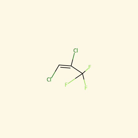 FC(F)(F)/C(Cl)=C\Cl